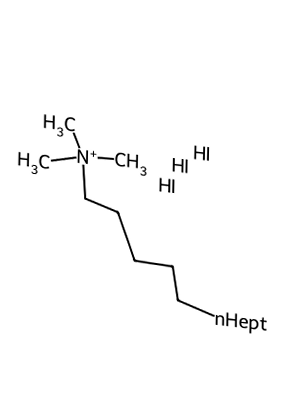 CCCCCCCCCCCC[N+](C)(C)C.I.I.I